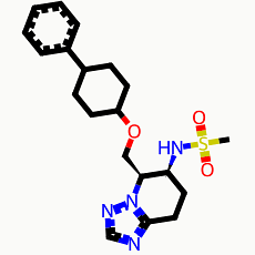 CS(=O)(=O)N[C@H]1CCc2ncnn2[C@H]1COC1CCC(c2ccccc2)CC1